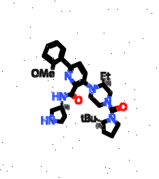 CC[C@@H]1CN(C(=O)N2CCC[C@@H]2C(C)(C)C)CCN1c1ccc(-c2ccccc2OC)nc1C(=O)N[C@@H]1CCNC1